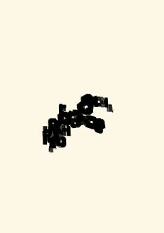 Cn1ccc2cc(N(Cc3ccc(C(=O)NNC(=O)C(F)F)cc3F)C(=O)N3CCS(=O)(=O)CC3)ccc21